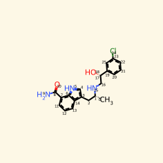 C[C@H](Cc1c[nH]c2c(C(N)=O)cccc12)NC[C@H](O)c1cccc(Cl)c1